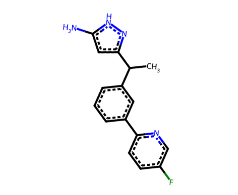 CC(c1cccc(-c2ccc(F)cn2)c1)c1cc(N)[nH]n1